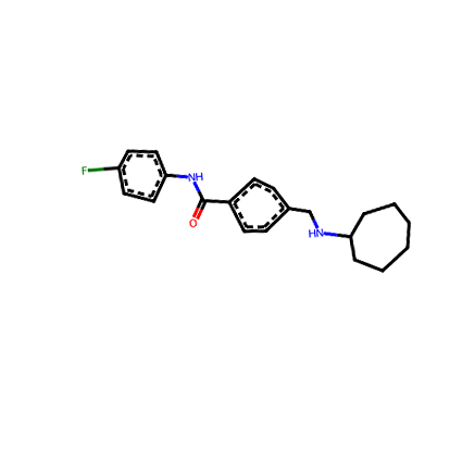 O=C(Nc1ccc(F)cc1)c1ccc(CNC2CCCCCC2)cc1